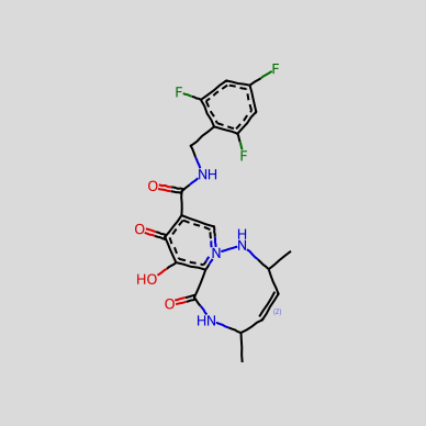 CC1/C=C\C(C)Nn2cc(C(=O)NCc3c(F)cc(F)cc3F)c(=O)c(O)c2C(=O)N1